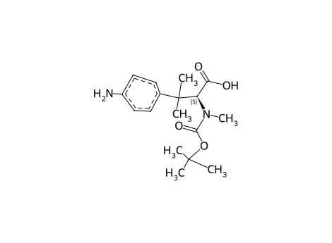 CN(C(=O)OC(C)(C)C)[C@H](C(=O)O)C(C)(C)c1ccc(N)cc1